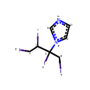 ICC(I)C(I)(CI)n1ccnc1